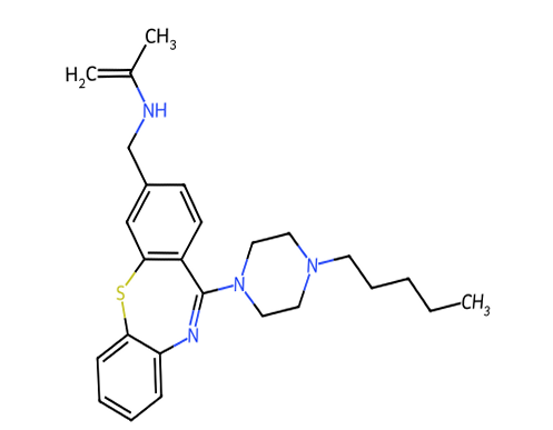 C=C(C)NCc1ccc2c(c1)Sc1ccccc1N=C2N1CCN(CCCCC)CC1